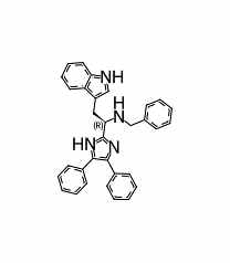 c1ccc(CN[C@H](Cc2c[nH]c3ccccc23)c2nc(-c3ccccc3)c(-c3ccccc3)[nH]2)cc1